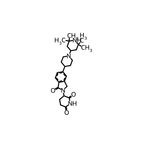 CC1(C)CC(N2CCC(c3ccc4c(c3)CN(C3CCC(=O)NC3=O)C4=O)CC2)CC(C)(C)N1